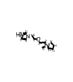 C[N+]1(CCOCC[n+]2cc[nH]c2)CCCC1